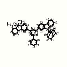 CC1(C)c2ccccc2-c2cc(-c3nc(-c4ccccc4)nc(-c4ccc5c(c4)C(C46CC7CC(CC(C7)C4)C6)c4ccccc4-5)n3)ccc21